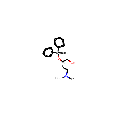 CC(C)N(CC[C@@H](CO)O[Si](c1ccccc1)(c1ccccc1)C(C)(C)C)C(=O)O